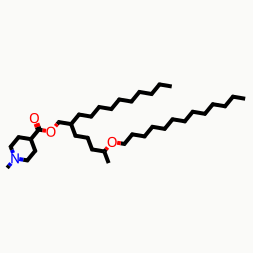 CCCCCCCCCCCCCOC(C)CCCC(CCCCCCCCCC)COC(=O)C1CCN(C)CC1